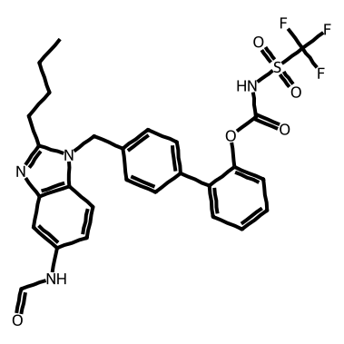 CCCCc1nc2cc(NC=O)ccc2n1Cc1ccc(-c2ccccc2OC(=O)NS(=O)(=O)C(F)(F)F)cc1